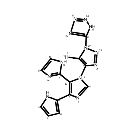 [2H]c1c(-n2[c]nc(-c3ccc[nH]3)c2-c2ncc[nH]2)nnn1-c1nnn[nH]1